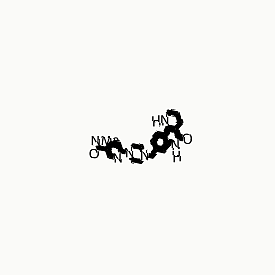 CNC(=O)c1ccc(N2CCN(Cc3ccc4c5c(c(=O)[nH]c4c3)CCCN5)CC2)nc1